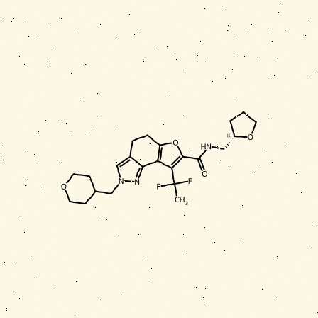 CC(F)(F)c1c(C(=O)NC[C@@H]2CCCO2)oc2c1-c1nn(CC3CCOCC3)cc1CC2